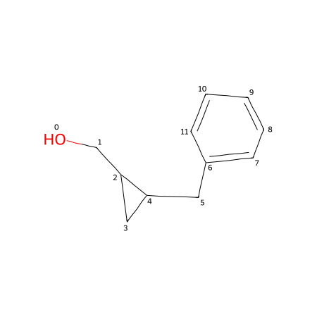 OCC1CC1Cc1ccccc1